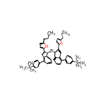 CCCc1ccc(C2=Cc3c(-c4ccc([Si](C)(C)C)cc4)cccc3[CH]2[Zr][CH]2C(c3ccc(CCC)o3)=Cc3c(-c4ccc([Si](C)(C)C)cc4)cccc32)o1